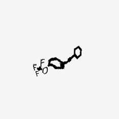 FC(F)(F)Oc1ccc(C#CC2=CCCCC2)cc1